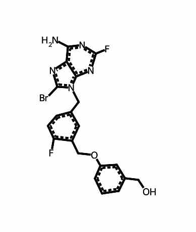 Nc1nc(F)nc2c1nc(Br)n2Cc1ccc(F)c(COc2cccc(CO)c2)c1